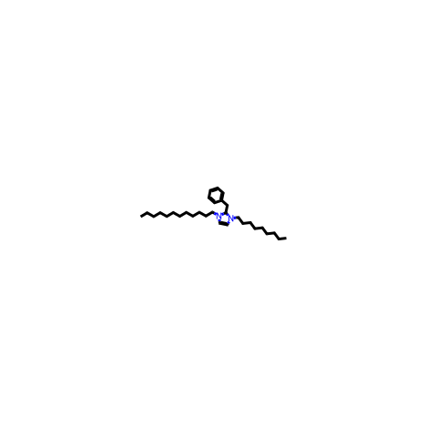 CCCCCCCCCCCCN1C=CN(CCCCCCCCC)C1Cc1ccccc1